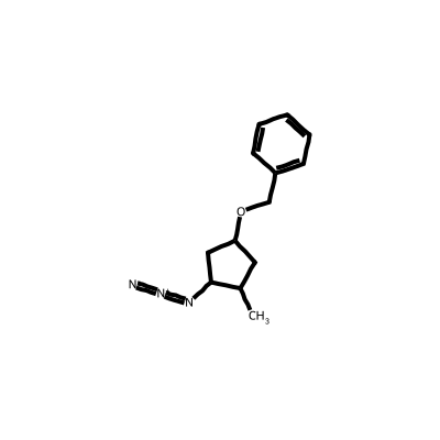 CC1CC(OCc2ccccc2)CC1N=[N+]=[N-]